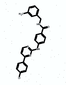 Cc1cccc(CNC(=O)c2ccc(Nc3nccc(-c4ccc(Cl)cc4)n3)cc2)c1